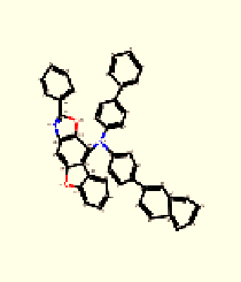 c1ccc(-c2ccc(N(c3ccc(-c4ccc5ccccc5c4)cc3)c3c4oc(-c5ccccc5)nc4cc4oc5ccccc5c34)cc2)cc1